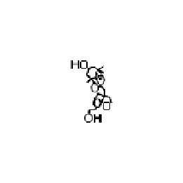 CCC(CC)(CC(=O)ON1C(C)(C)CC(O)CC1(C)C)C(=O)OCCO